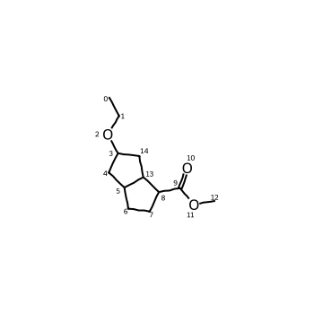 CCOC1CC2CCC(C(=O)OC)C2C1